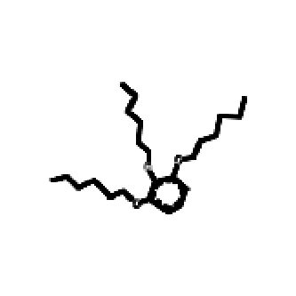 CCCCCCOc1[c]ccc(OCCCCCC)c1OCCCCCC